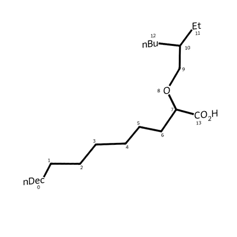 CCCCCCCCCCCCCCCCC(OCC(CC)CCCC)C(=O)O